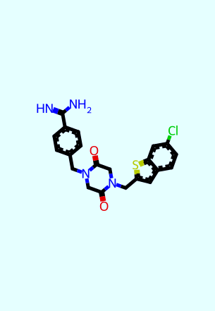 N=C(N)c1ccc(CN2CC(=O)N(Cc3cc4ccc(Cl)cc4s3)CC2=O)cc1